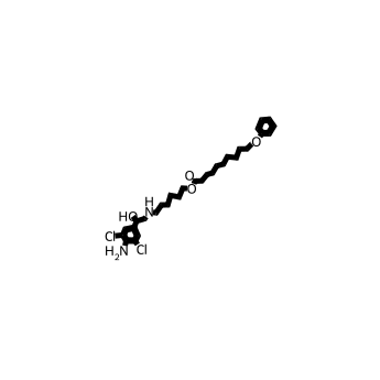 Nc1c(Cl)cc(C(O)CNCCCCCCOC(=O)CCCCCCCCCCOc2ccccc2)cc1Cl